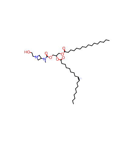 CCCCCCCC/C=C\CCCCCCCC(=O)OC(COC(=O)CCCCCCCCCCCCCCC)COC(=O)N(C)C1CN(CCO)C1